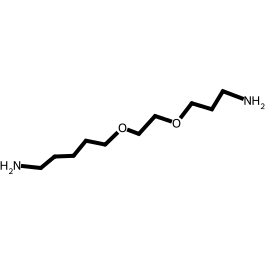 NCCCCCOCCOCCCN